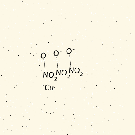 O=[N+]([O-])[O-].O=[N+]([O-])[O-].O=[N+]([O-])[O-].[Cu]